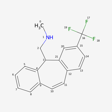 CNCC1c2ccccc2C=Cc2ccc(C(F)(F)F)cc21